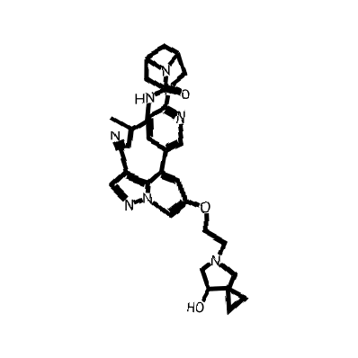 CC(C)CNC(=O)N1C2CC1CN(c1ccc(-c3cc(OCCN4CC(O)C5(CC5)C4)cn4ncc(C#N)c34)cn1)C2